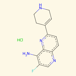 Cl.Nc1c(F)cnc2ccc(C3=CCNCC3)nc12